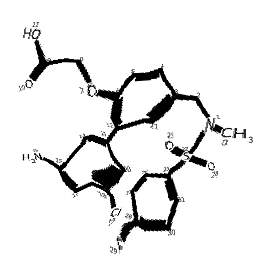 CN(Cc1ccc(OCC(=O)O)c(-c2cc(N)cc(Cl)c2)c1)S(=O)(=O)c1ccc(F)cc1